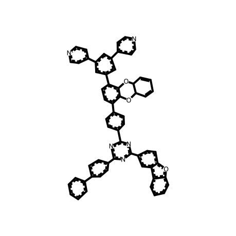 C1=CC2Oc3c(-c4ccc(-c5nc(-c6ccc(-c7ccccc7)cc6)nc(-c6ccc7oc8ccccc8c7c6)n5)cc4)ccc(-c4cc(-c5ccncc5)cc(-c5ccncc5)c4)c3OC2C=C1